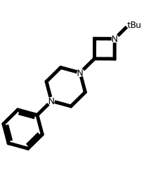 CC(C)(C)N1CC(N2CCN(c3ccccc3)CC2)C1